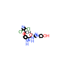 C[C@@H](Oc1ccc2[nH]nc(C(=O)Nc3cnn(C4CCC(O)CC4)c3)c2c1)c1c(Cl)cncc1Cl